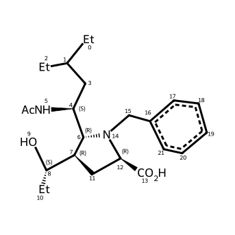 CCC(CC)C[C@H](NC(C)=O)[C@H]1[C@H]([C@@H](O)CC)C[C@H](C(=O)O)N1Cc1ccccc1